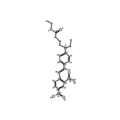 CCOC(=O)CCCN(CC)c1ccc(N=Nc2ccc([N+](=O)[O-])cc2[N+](=O)[O-])cc1